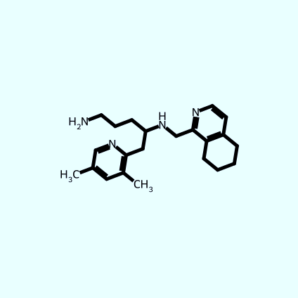 Cc1cnc(CC(CCCN)NCc2nccc3c2CCCC3)c(C)c1